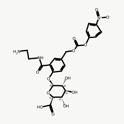 NCCNC(=O)c1cc(COC(=O)Oc2ccc([N+](=O)[O-])cc2)ccc1O[C@@H]1O[C@H](C(=O)O)[C@@H](O)[C@H](O)[C@H]1O